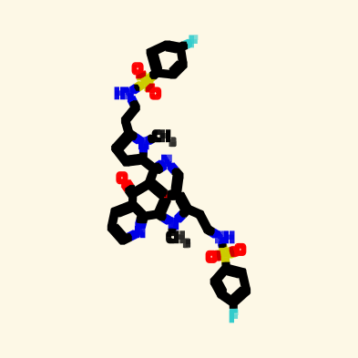 Cn1c(CCNS(=O)(=O)c2ccc(F)cc2)ccc1-c1ncccc1C(=O)c1cccnc1-c1ccc(CCNS(=O)(=O)c2ccc(F)cc2)n1C